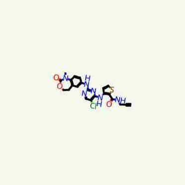 C#CCNC(=O)c1sccc1Nc1nc(Nc2ccc3c(c2)CCOC(=O)N3C)ncc1Cl